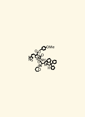 COc1ccc(COC(=O)C2=C(/C=C\c3csnn3)CS[C@H]3C(NC(=O)/C(=N\OC4CCCCO4)c4csc(NC(c5ccccc5)(c5ccccc5)c5ccccc5)n4)C(=O)N23)cc1